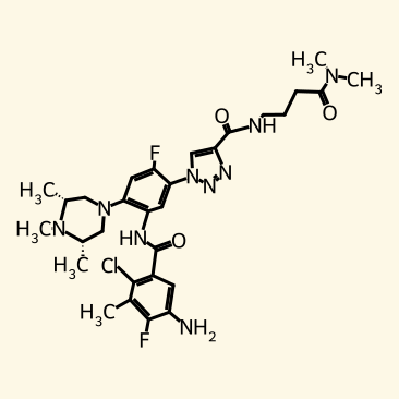 Cc1c(F)c(N)cc(C(=O)Nc2cc(-n3cc(C(=O)NCCCC(=O)N(C)C)nn3)c(F)cc2N2C[C@@H](C)N(C)[C@@H](C)C2)c1Cl